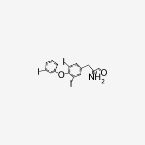 N[C@H](C=O)Cc1cc(I)c(Oc2cccc(I)c2)c(I)c1